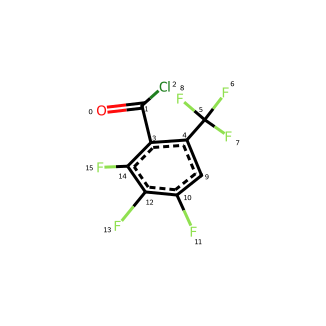 O=C(Cl)c1c(C(F)(F)F)cc(F)c(F)c1F